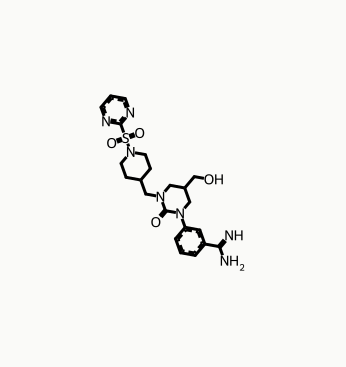 N=C(N)c1cccc(N2CC(CO)CN(CC3CCN(S(=O)(=O)c4ncccn4)CC3)C2=O)c1